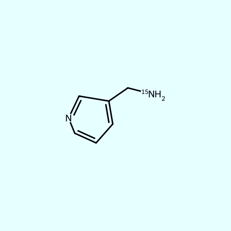 [15NH2]Cc1cccnc1